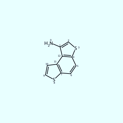 Nc1csc2ccc3sccc3c12